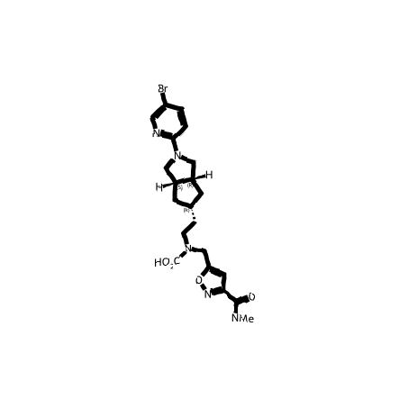 CNC(=O)c1cc(CN(CC[C@@H]2C[C@@H]3CN(c4ccc(Br)cn4)C[C@@H]3C2)C(=O)O)on1